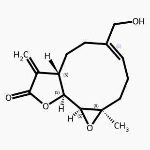 C=C1C(=O)O[C@H]2[C@H]1CC/C(CO)=C\CC[C@@]1(C)O[C@@H]21